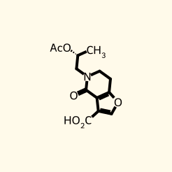 CC(=O)O[C@H](C)CN1CCc2occ(C(=O)O)c2C1=O